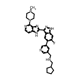 CN1CCN(c2nccc3[nH]c(-c4n[nH]c5cc(F)c(-c6cncc(CNCC7CCCC7)c6)cc45)nc23)CC1